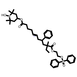 CCC(C)(CC(C/C=C/CCCC(=O)OC1CC(C)(C)N(O)C(C)(C)C1)c1ccccc1)C(=O)OCCOP(=O)(c1ccccc1)c1ccccc1